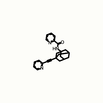 O=C(NC12CC3CC(CC(C#Cc4ccccn4)(C3)C1)C2)c1ccccn1